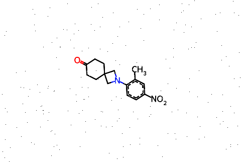 Cc1cc([N+](=O)[O-])ccc1N1CC2(CCC(=O)CC2)C1